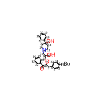 CCCCc1ccc(CC(OCC(O)CN2CCC(O)(c3ccccc3)CC2)C(=O)c2ccccc2)cc1